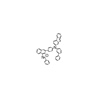 c1ccc(-c2cccc(N(c3ccc(-c4cc5ccccc5c5nc(-c6ccccc6)oc45)cc3)c3ccc4c(c3)sc3ccccc34)c2)cc1